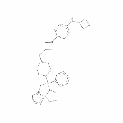 c1ccc(C(Cn2ccnc2)(C2CCCC2)C2CCN(CC3CN(c4ccc(NC5COC5)cc4)C3)CC2)cc1